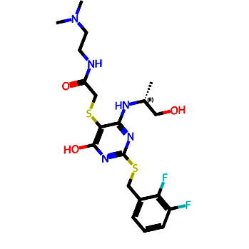 C[C@H](CO)Nc1nc(SCc2cccc(F)c2F)nc(O)c1SCC(=O)NCCN(C)C